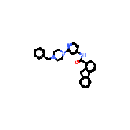 O=C(Nc1ccnc(N2CCN(Cc3ccccc3)CC2)c1)c1cccc2c1Cc1ccccc1-2